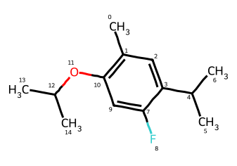 Cc1cc(C(C)C)c(F)cc1OC(C)C